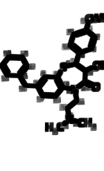 COc1ccc(C2Sc3cc(Cc4ccccc4)ccc3N(CCN(C)C)C(=O)C2O)cc1